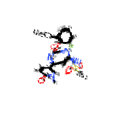 CC[C@H](C)S(=O)(=O)Nc1cc(-c2ccc(=O)n(C)c2)nc(Oc2c(F)cccc2OC)n1